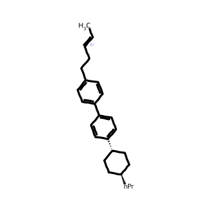 C/C=C/CCc1ccc(-c2ccc([C@H]3CC[C@H](CCC)CC3)cc2)cc1